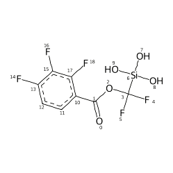 O=C(OC(F)(F)[Si](O)(O)O)c1ccc(F)c(F)c1F